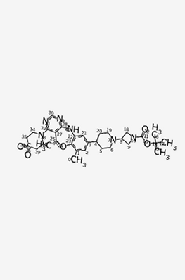 Cc1cc(C2CCN(C3CN(C(=O)OC(C)(C)C)C3)CC2)cc2c1O[C@H](C)c1c(ncnc1N1CCS(=O)(=O)CC1)N2